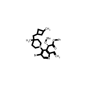 C=Cc1ncc(Br)c(N2CCC(C)(CC3CC(C)C3)CC2)c1[C@H](OC(C)(C)C)C(=O)OC(C)C